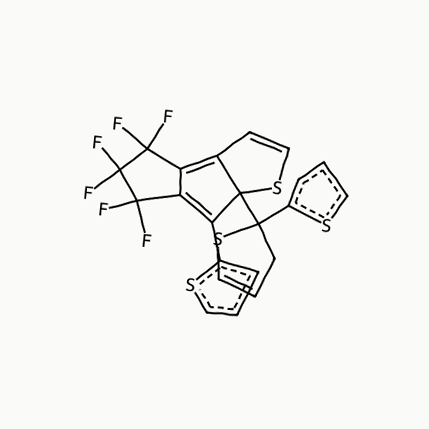 FC1(F)C2=C3C=CSC3(C3(c4cccs4)CC=CS3)C(c3cccs3)=C2C(F)(F)C1(F)F